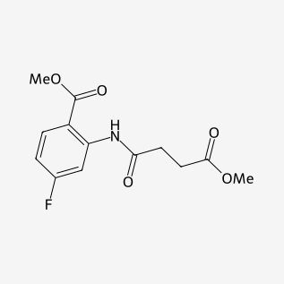 COC(=O)CCC(=O)Nc1cc(F)ccc1C(=O)OC